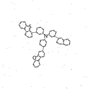 c1cc(-c2ccc3ccccc3c2)cc(N(c2ccc(-c3ccc4c(c3)oc3ccccc34)cc2)c2cccc(-c3cccc4c3sc3ccccc34)c2)c1